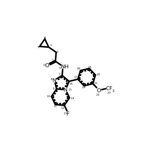 O=C(CC1CC1)Nc1nc2ccc(F)cn2c1-c1cccc(OC(F)(F)F)c1